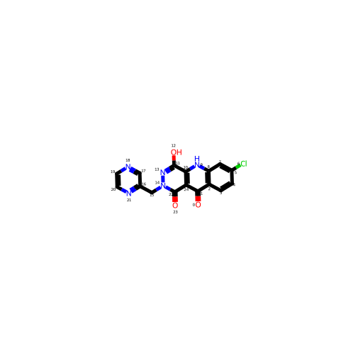 O=c1c2ccc(Cl)cc2[nH]c2c(O)nn(Cc3cnccn3)c(=O)c12